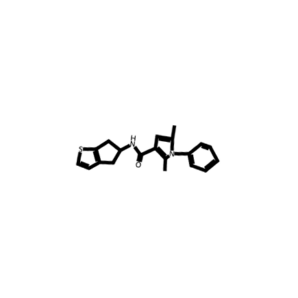 Cc1cc(C(=O)NC2Cc3ccsc3C2)c(C)n1-c1ccccc1